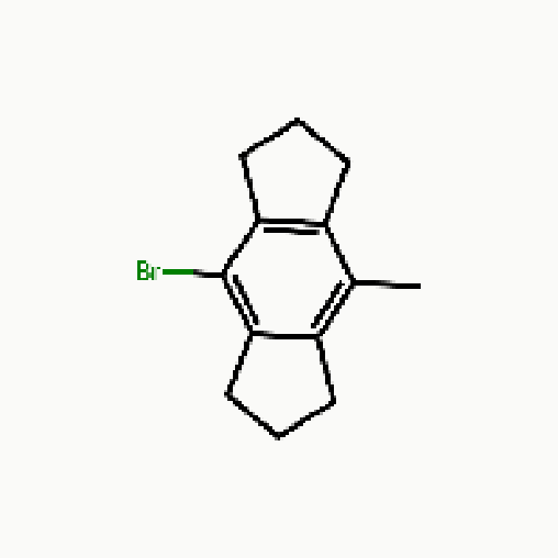 Cc1c2c(c(Br)c3c1CCC3)CCC2